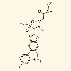 Cc1cc(F)ncc1-c1cc2sc(C(C(=O)NCC(=O)NC3CC3)S(C)(=O)=O)nc2cc1F